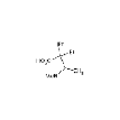 CCC(C(=O)O)(C(C)C)C(C)NC